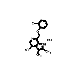 CCCc1cnc(COc2ccccc2Cl)c2[nH]c(C)c(C)c12.Cl